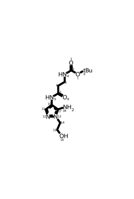 CC(C)(C)OC(=O)NCCC(=O)Nc1cnn(CCO)c1N